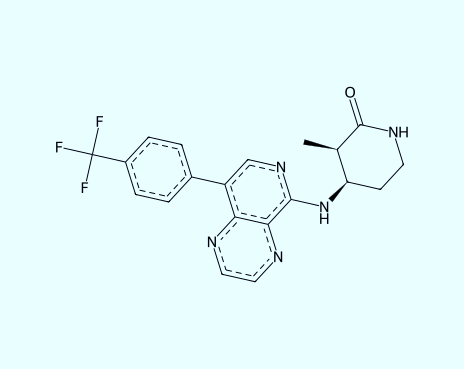 C[C@H]1C(=O)NCC[C@H]1Nc1ncc(-c2ccc(C(F)(F)F)cc2)c2nccnc12